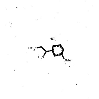 CCOC(=O)CC(N)c1cccc(OC)c1.Cl